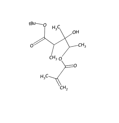 C=C(C)C(=O)OC(C)C(C)(O)C(C)C(=O)OC(C)(C)C